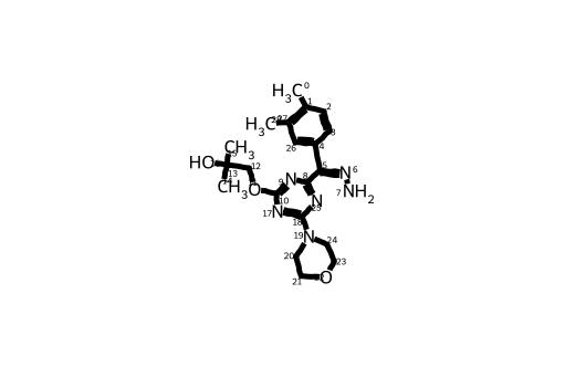 Cc1ccc(C(=NN)c2nc(OCC(C)(C)O)nc(N3CCOCC3)n2)cc1C